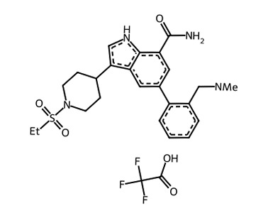 CCS(=O)(=O)N1CCC(c2c[nH]c3c(C(N)=O)cc(-c4ccccc4CNC)cc23)CC1.O=C(O)C(F)(F)F